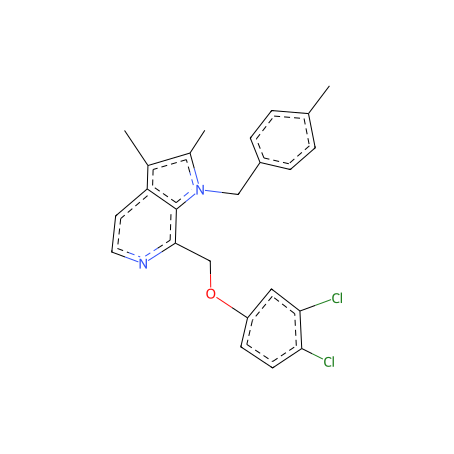 Cc1ccc(Cn2c(C)c(C)c3ccnc(COc4ccc(Cl)c(Cl)c4)c32)cc1